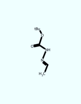 CC=NNC(=O)OC(C)(C)C